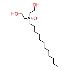 CCCCCCCCCCCC[As](=O)(CCO)CCO